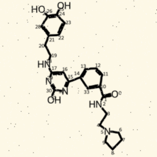 O=C(NCCN1CCCC1)c1cccc(-c2cc(NCCc3ccc(O)c(O)c3)nc(O)n2)c1